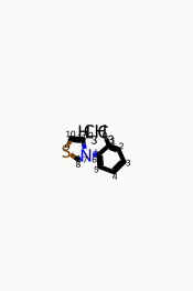 Cc1ccccc1-[n+]1cscc1C